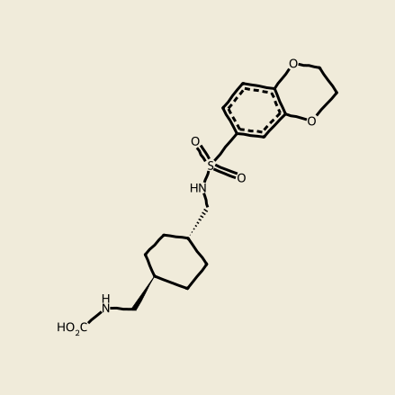 O=C(O)NC[C@H]1CC[C@H](CNS(=O)(=O)c2ccc3c(c2)OCCO3)CC1